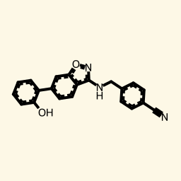 N#Cc1ccc(CNc2noc3cc(-c4ccccc4O)ccc23)cc1